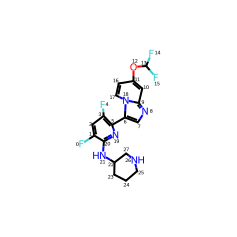 Fc1cc(F)c(-c2cnc3cc(OC(F)F)ccn23)nc1NC1CCCNC1